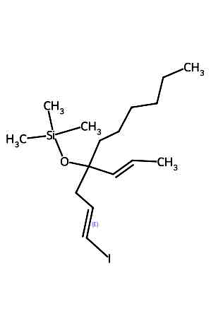 CC=CC(C/C=C/I)(CCCCCC)O[Si](C)(C)C